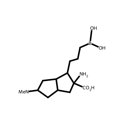 CNC1CC2CC(N)(C(=O)O)C(CCCB(O)O)C2C1